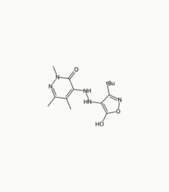 Cc1nn(C)c(=O)c(NNc2c(C(C)(C)C)noc2O)c1C